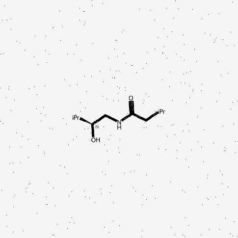 CC(C)CC(=O)NC[C@@H](O)C(C)C